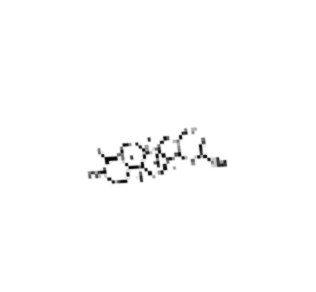 CC(C)C1C[C@H]2[C@@H]3CCN4C(C)C(=O)CC[C@]4(C)[C@@H]3CC[C@]2(C)C1OC(=O)C(C)(C)C